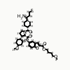 COCCCCOC(=O)c1cc2cc(NC(=O)[C@@H]3[C@H](C4CCC(OC)CC4)CCN3C(=O)[C@H]3CC[C@H]([C@H](N)CCF)CC3)ccc2o1